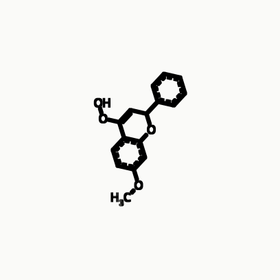 COc1ccc2c(c1)OC(c1ccccc1)C=C2OO